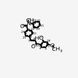 COc1ccc(C(=O)/C=C/c2ccc(C(=O)N(C)c3ccccc3)cc2)c(O)c1